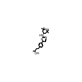 CC(O)CCc1ccc(-c2ccnc(NC3CC(C)(C)NC(C)(C)C3)n2)cc1